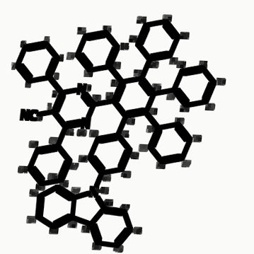 N#Cc1c(-c2ccccc2)nc(-c2c(-c3ccccc3)c(-c3ccccc3)c(-c3ccccc3)c(-c3ccccc3)c2-c2ccc(-n3c4ccccc4c4ccccc43)cc2)nc1-c1ccccc1